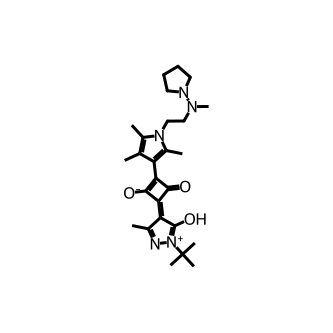 CC1=N[N+](C(C)(C)C)=C(O)/C1=C1\C(=O)C(c2c(C)c(C)n(CCN(C)N3CCCC3)c2C)=C1[O-]